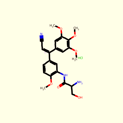 COc1ccc(/C(=C/C#N)c2cc(OC)c(OC)c(OC)c2)cc1NC(=O)C(N)CO.Cl